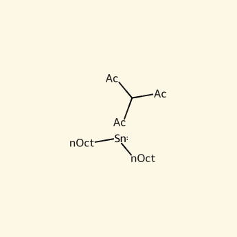 CC(=O)C(C(C)=O)C(C)=O.CCCCCCC[CH2][Sn][CH2]CCCCCCC